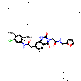 COc1cc(OC)c(NC(=O)Cc2ccc3c(=O)n(CC(=O)NCc4ccco4)c(=O)[nH]c3c2)cc1Cl